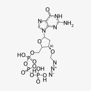 [N-]=[N+]=NCO[C@@H]1CC(n2cnc3c(=O)[nH]c(N)nc32)OC1COP(=O)(O)OP(=O)(O)OP(=O)(O)O